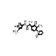 Cc1cc(NC(=O)C(C)c2ccc(N3CCCC3=O)c(C#N)c2Cl)n[nH]1